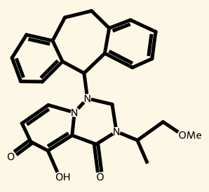 COCC(C)N1CN(C2c3ccccc3CCc3ccccc32)n2ccc(=O)c(O)c2C1=O